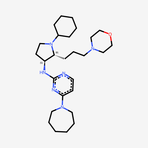 c1cc(N2CCCCCC2)nc(N[C@H]2CCN(C3CCCCC3)[C@@H]2CCCN2CCOCC2)n1